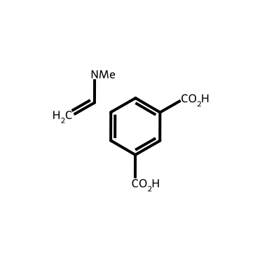 C=CNC.O=C(O)c1cccc(C(=O)O)c1